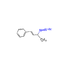 CC(/C=C/c1ccccc1)N=[N+]=[N-]